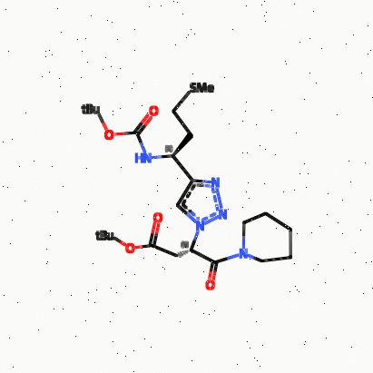 CSCC[C@H](NC(=O)OC(C)(C)C)c1cn([C@@H](CC(=O)OC(C)(C)C)C(=O)N2CCCCC2)nn1